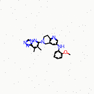 COc1ccccc1Nc1cnc2c(c1)CN(c1nn3cnnc3c(C)c1C)CC2